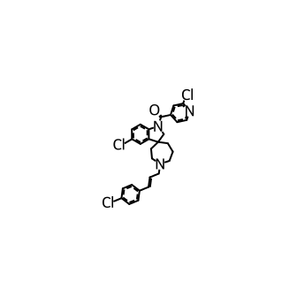 O=C(c1ccnc(Cl)c1)N1CC2(CCCN(C/C=C/c3ccc(Cl)cc3)CC2)c2cc(Cl)ccc21